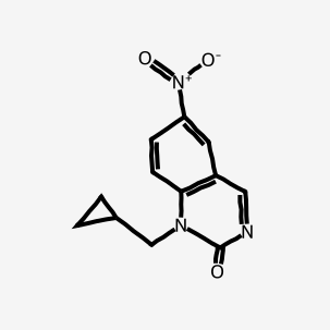 O=c1ncc2cc([N+](=O)[O-])ccc2n1CC1CC1